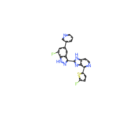 Fc1ccc(-c2nccc3[nH]c(-c4n[nH]c5c(F)cc(-c6cccnc6)cc45)nc23)s1